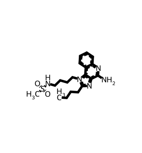 CCCCc1nc2c(N)nc3ccccc3c2n1CCCCNS(C)(=O)=O